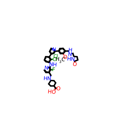 COc1cc(-c2nccc(-c3cccc(Nc4nccc(CNC5CCC(C(=O)O)CC5)c4F)c3Cl)c2Cl)ccc1CNCC1CCC(=O)N1